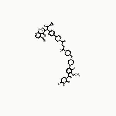 CC(C)n1nc(-c2noc(C3CC3)c2-c2ncc(C3CCN(C(=O)CCC(=O)N4CCC(CN5CCN(c6ccc7c(N8CCC(=O)NC8=O)nn(C)c7c6F)CC5)CC4)CC3)cn2)c2c(N)ncnc21